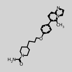 Cc1c(-c2ccc(OCCCC3CCN(C(N)=O)CC3)cc2)ccc2nccn12